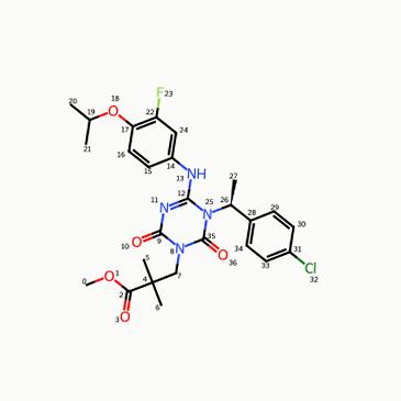 COC(=O)C(C)(C)Cn1c(=O)nc(Nc2ccc(OC(C)C)c(F)c2)n([C@@H](C)c2ccc(Cl)cc2)c1=O